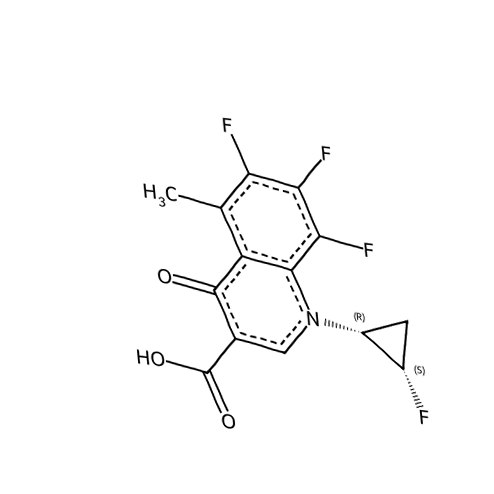 Cc1c(F)c(F)c(F)c2c1c(=O)c(C(=O)O)cn2[C@@H]1C[C@@H]1F